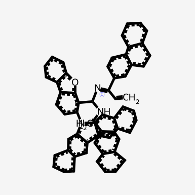 C=C/C(=N\C(NC(=C)c1ccc2ccccc2c1)c1c(-n2c3cc4ccccc4cc3c3cc4ccccc4cc32)ccc2c1oc1ccccc12)c1ccc2c(ccc3ccccc32)c1